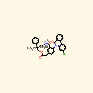 CCOC(=O)C(COC(=O)Cc1ccc(NC(=O)c2ccccc2-c2ccc(Br)cc2)c(C(=O)N(C)C)c1)(C(=O)OCC)c1ccccc1